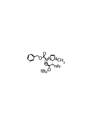 CCCC(C(=O)OC(C)(C)C)[C@H]1N(C)C=CN1NC(=O)OCc1ccccc1